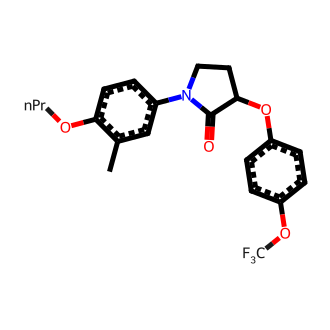 CCCOc1ccc(N2CCC(Oc3ccc(OC(F)(F)F)cc3)C2=O)cc1C